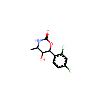 CC1NC(=O)OC(c2ccc(Cl)cc2Cl)C1O